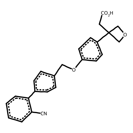 N#Cc1ccccc1-c1ccc(COc2ccc(C3(CC(=O)O)COC3)cc2)cc1